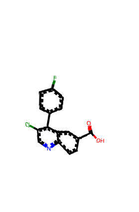 O=C(O)c1ccc2ncc(Cl)c(-c3ccc(F)cc3)c2c1